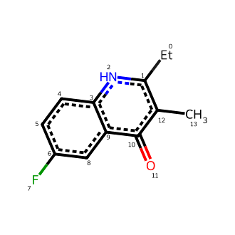 CCc1[nH]c2ccc(F)cc2c(=O)c1C